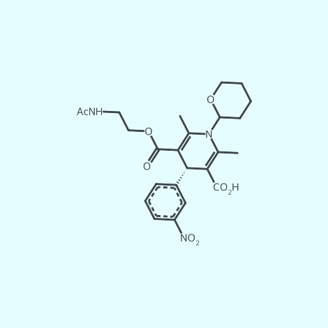 CC(=O)NCCOC(=O)C1=C(C)N(C2CCCCO2)C(C)=C(C(=O)O)[C@@H]1c1cccc([N+](=O)[O-])c1